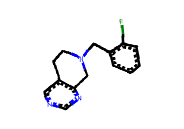 Fc1ccccc1CN1CCc2cncnc2C1